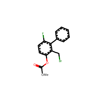 COC(=O)Oc1ccc(F)c(-c2ccccc2)c1CBr